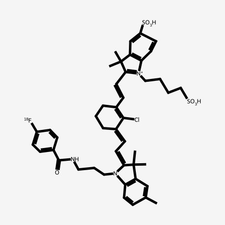 Cc1ccc2c(c1)C(C)(C)/C(=C\C=C1/CCCC(/C=C/C3=[N+](CCCCS(=O)(=O)O)c4ccc(S(=O)(=O)O)cc4C3(C)C)=C1Cl)N2CCCNC(=O)c1ccc([18F])cc1